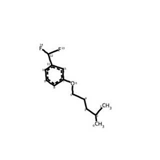 CC(C)CCCOc1cccc(C(F)F)c1